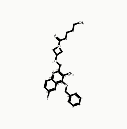 CCCCCC(=O)N1CC(OCc2nc3ccc(F)cc3c(OCc3ccccc3)c2C)C1